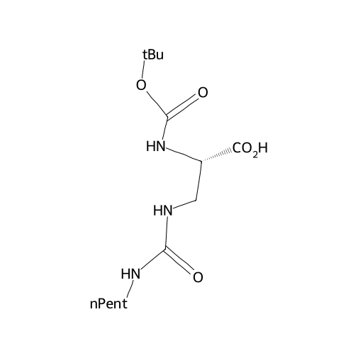 CCCCCNC(=O)NC[C@H](NC(=O)OC(C)(C)C)C(=O)O